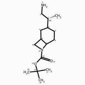 C[C@@H](CN)C1CCC2C(C1)CN2C(=O)OC(C)(C)C